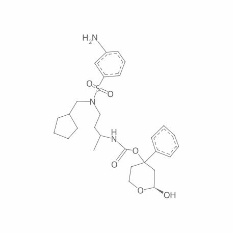 CC(CCN(CC1CCCC1)S(=O)(=O)c1cccc(N)c1)NC(=O)OC1(c2ccccc2)CCO[C@H](O)C1